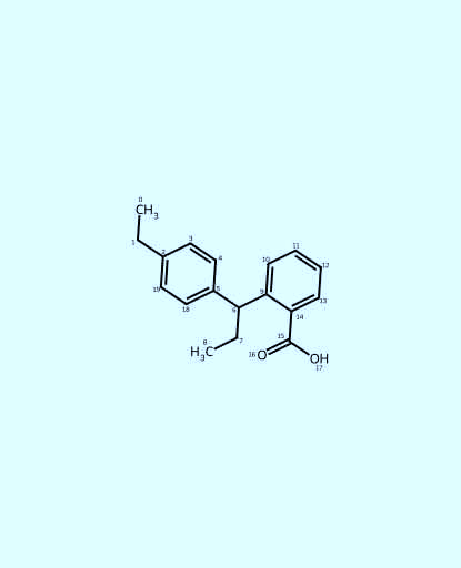 CCc1ccc(C(CC)c2ccccc2C(=O)O)cc1